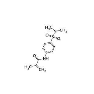 C=C(C)C(=O)Nc1ccc(S(=O)(=O)N(C)C)cc1